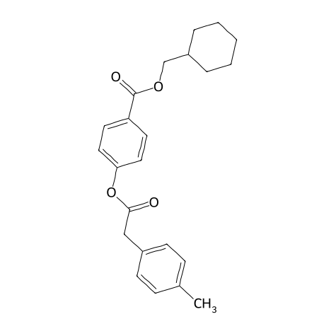 Cc1ccc(CC(=O)Oc2ccc(C(=O)OCC3CCCCC3)cc2)cc1